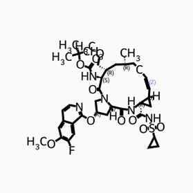 COC[C@@H]1C[C@H](C)CC/C=C\[C@@H]2C[C@@]2(C(=O)NS(=O)(=O)C2CC2)NC(=O)[C@@H]2C[C@@H](Oc3nccc4cc(OC)c(F)cc34)CN2C(=O)[C@H]1NC(=O)OC(C)(C)C